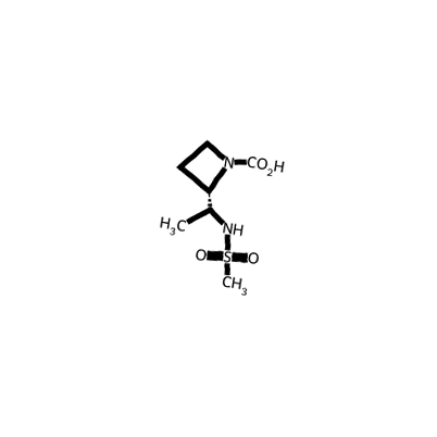 CC(NS(C)(=O)=O)[C@@H]1CCN1C(=O)O